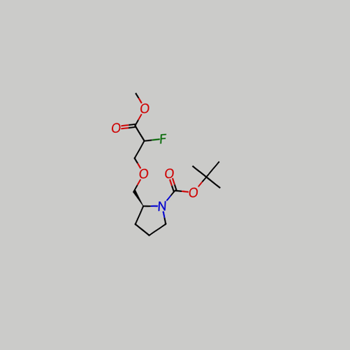 COC(=O)C(F)COC[C@@H]1CCCN1C(=O)OC(C)(C)C